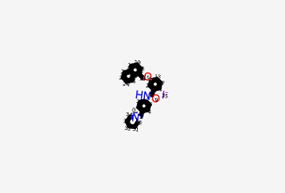 C[N+]1(Cc2ccc(NC(=O)c3cccc(OCc4cccc5ccccc45)c3)cc2)CCCCC1.[I-]